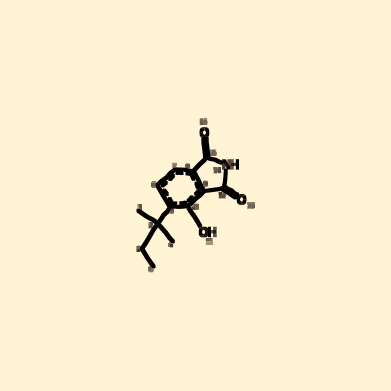 CCC(C)(C)c1ccc2c(c1O)C(=O)NC2=O